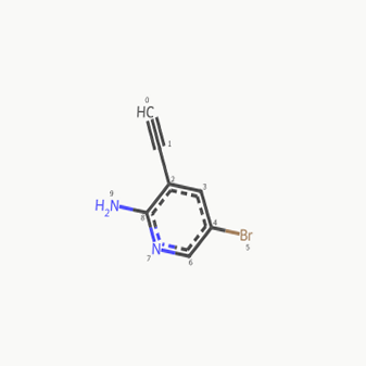 C#Cc1cc(Br)cnc1N